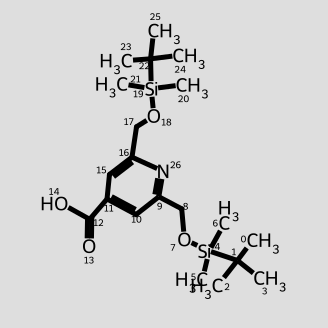 CC(C)(C)[Si](C)(C)OCc1cc(C(=O)O)cc(CO[Si](C)(C)C(C)(C)C)n1